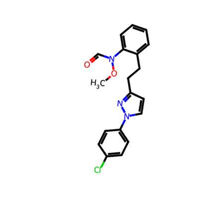 CON(C=O)c1ccccc1CCc1ccn(-c2ccc(Cl)cc2)n1